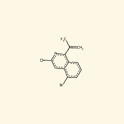 C=C(c1nc(Cl)cc2c(Br)cccc12)C(F)(F)F